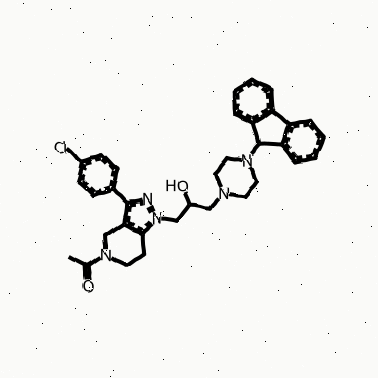 CC(=O)N1CCc2c(c(-c3ccc(Cl)cc3)nn2CC(O)CN2CCN(C3c4ccccc4-c4ccccc43)CC2)C1